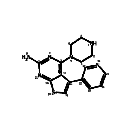 Nc1nc(N2CCNCC2)c2c(-c3cccnc3)csc2n1